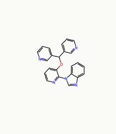 c1cncc(C(Oc2cccnc2-n2cnc3ccccc32)c2cccnc2)c1